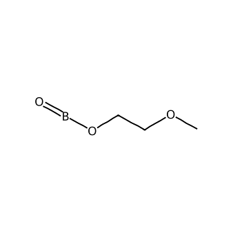 COCCOB=O